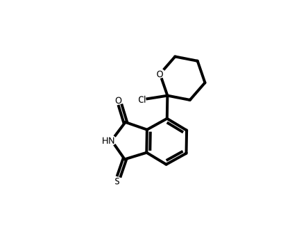 O=C1NC(=S)c2cccc(C3(Cl)CCCCO3)c21